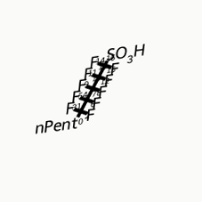 CCCCCC(F)(F)C(F)(F)C(F)(F)C(F)(F)C(F)(F)S(=O)(=O)O